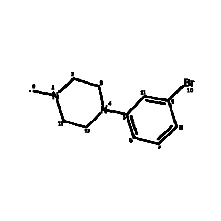 [CH2]N1CCN(c2cccc(Br)c2)CC1